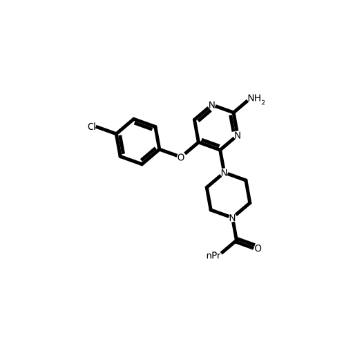 CCCC(=O)N1CCN(c2nc(N)ncc2Oc2ccc(Cl)cc2)CC1